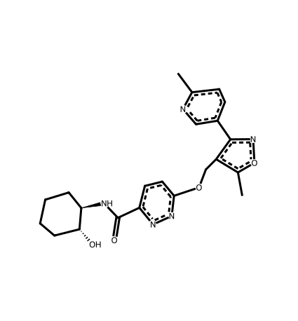 Cc1ccc(-c2noc(C)c2COc2ccc(C(=O)N[C@@H]3CCCC[C@H]3O)nn2)cn1